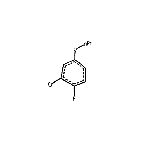 [CH2]CCOc1ccc(F)c(Cl)c1